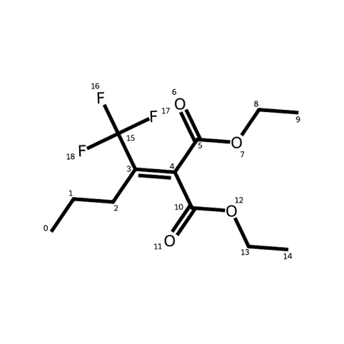 CCCC(=C(C(=O)OCC)C(=O)OCC)C(F)(F)F